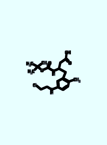 Cc1ccc(NCCCl)cc1CC(CC(=O)O)NC(=O)OC(C)(C)C